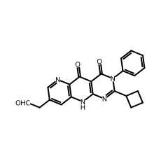 O=CCc1cnc2c(=O)c3c(=O)n(-c4ccccc4)c(C4CCC4)nc3[nH]c2c1